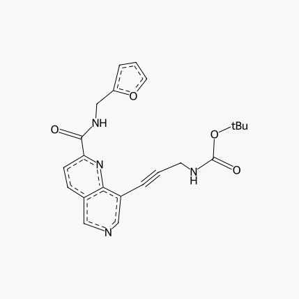 CC(C)(C)OC(=O)NCC#Cc1cncc2ccc(C(=O)NCc3ccco3)nc12